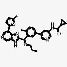 CCC/N=C(/c1nc2c(-c3ccc(C)s3)cncc2[nH]1)c1cc(-c2cncc(NC(=O)C3CC3)c2)ccc1C